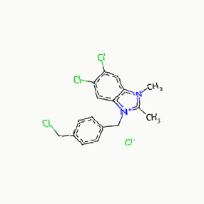 Cc1n(C)c2cc(Cl)c(Cl)cc2[n+]1Cc1ccc(CCl)cc1.[Cl-]